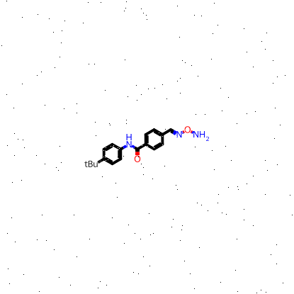 CC(C)(C)c1ccc(NC(=O)c2ccc(C=NON)cc2)cc1